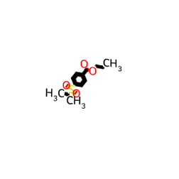 CCCOC(=O)c1ccc(S(=O)(=O)C(C)C)cc1